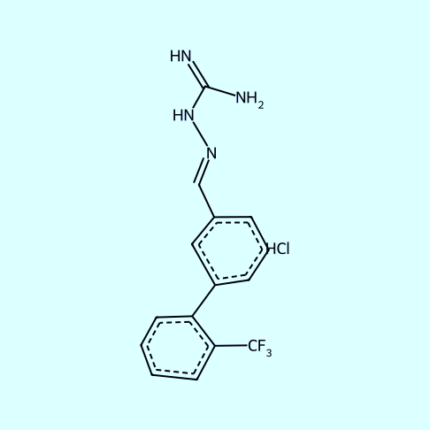 Cl.N=C(N)NN=Cc1cccc(-c2ccccc2C(F)(F)F)c1